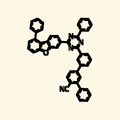 N#Cc1ccc(-c2cccc(-c3nc(-c4ccccc4)nc(-c4ccc5c(c4)oc4cccc(-c6ccccc6)c45)n3)c2)cc1-c1ccccc1